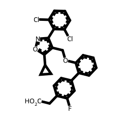 O=C(O)Cc1ccc(-c2ccccc2OCc2c(-c3c(Cl)cccc3Cl)noc2C2CC2)cc1F